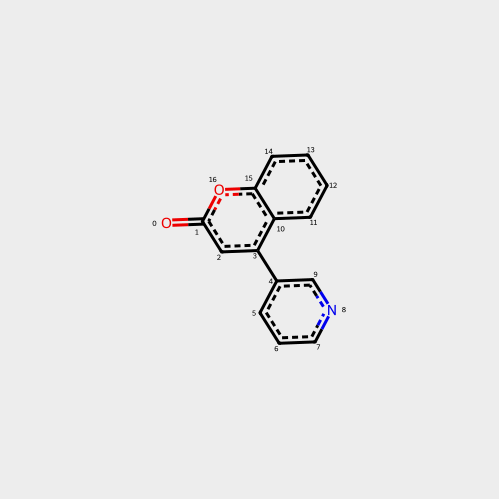 O=c1cc(-c2cccnc2)c2ccccc2o1